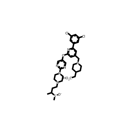 CC(CCN1CCN(c2ncc(Oc3cc(CN4CCC(CC(=O)O)CC4)cc(-c4cc(Cl)cc(Cl)c4)n3)cn2)CC1)[S+](C)[O-]